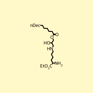 CCCCCCCCCCCCCCCC(=O)OCC(O)CNCCCCC(N)C(=O)OCC